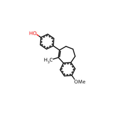 COc1ccc2c(c1)CCCC(c1ccc(O)cc1)=C2C